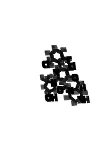 CC1(C)CC(O)CN1c1nc(-c2c(F)cccc2Cl)c(Cl)c2c1C(=O)N1CCNC[C@@H]1CO2